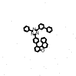 c1ccc(-c2cccc(-c3nc(-c4ccccc4)nc(-c4ccc(-c5cccc6oc7ccc8ccccc8c7c56)cc4)n3)c2)cc1